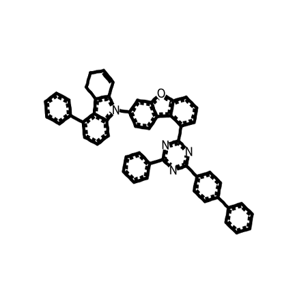 C1=Cc2c(c3c(-c4ccccc4)cccc3n2-c2ccc3c(c2)oc2cccc(-c4nc(-c5ccccc5)nc(-c5ccc(-c6ccccc6)cc5)n4)c23)CC1